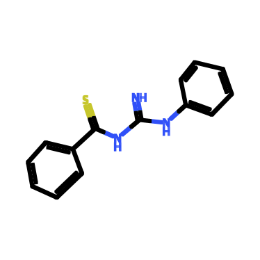 N=C(NC(=S)c1ccccc1)Nc1ccccc1